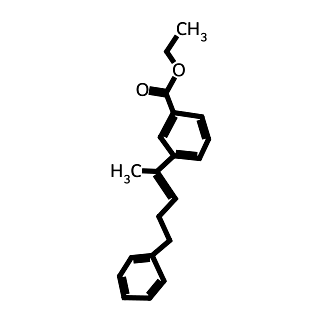 CCOC(=O)c1cccc(C(C)=CCCc2ccccc2)c1